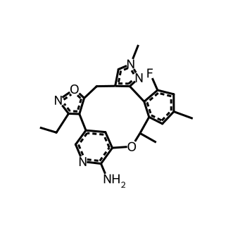 CCc1noc2c1-c1cnc(N)c(c1)OC(C)c1cc(C)cc(F)c1-c1nn(C)cc1C2